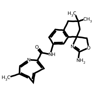 CC1=C\C=C\C=C(C(=O)Nc2ccc3c(c2)C2(COC(N)=N2)CC(C)(C)C3)/N=C\1